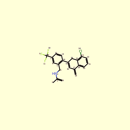 C=C(C)NCc1cc(C(F)(F)F)ccc1C1=CC(=C)c2cccc(Cl)c2C1